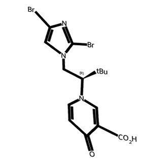 CC(C)(C)[C@H](Cn1cc(Br)nc1Br)n1ccc(=O)c(C(=O)O)c1